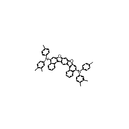 Cc1ccc(N(c2ccc(C)c(C)c2)c2cc3oc4cc5oc6cc(N(c7ccc(C)cc7)c7ccc(C)c(C)c7)c7ccccc7c6c5cc4c3c3ccccc23)cc1